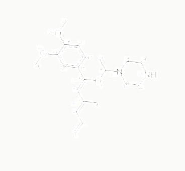 C=C/C=C(C)/C=C(\OC(C)N1CCNCC1)c1ccc(OC)c(OC)c1